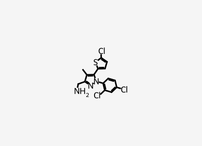 Cc1c(CN)nn(-c2ccc(Cl)cc2Cl)c1-c1ccc(Cl)s1